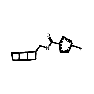 O=C(NCC1C2C3CC4C1C2C34)c1ccc(F)cc1